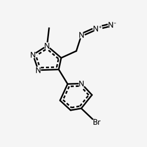 Cn1nnc(-c2ccc(Br)cn2)c1CN=[N+]=[N-]